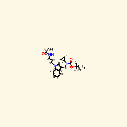 CCCC(C)(C)OC(=O)N(Cc1cn(CCCNC(=O)OC)c2ccccc12)C1CC1